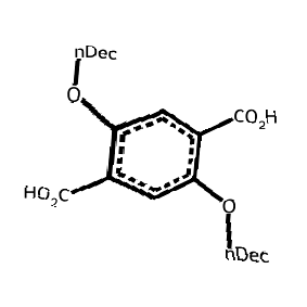 CCCCCCCCCCOc1cc(C(=O)O)c(OCCCCCCCCCC)cc1C(=O)O